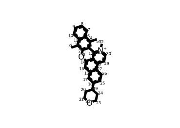 Cc1c2c(c(C)c3ccccc13)-c1c3c(cc4cc(C5CCOCC5)ccc4c3cc[n+]1C)O2